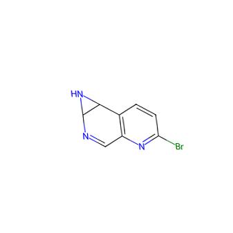 Brc1ccc2c(n1)C=NC1NC21